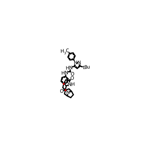 Cc1ccc(-n2nc(C(C)(C)C)cc2NC(=O)Nc2ccc(CC3CC4CCC(C3)N4C(=O)C3CCC(=O)N3)cc2)cc1